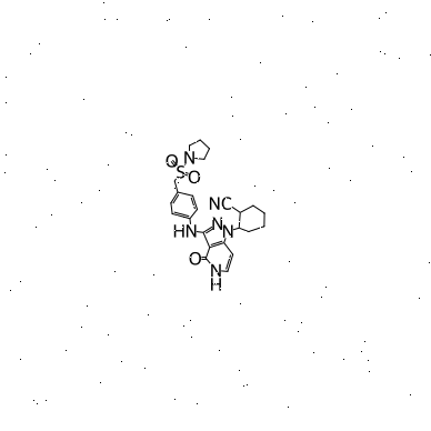 N#CC1CCCCC1n1nc(Nc2ccc(CS(=O)(=O)N3CCCC3)cc2)c2c(=O)[nH]ccc21